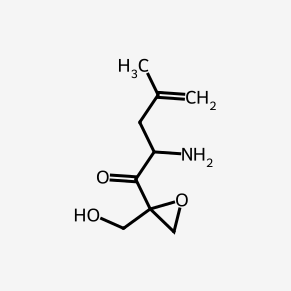 C=C(C)CC(N)C(=O)C1(CO)CO1